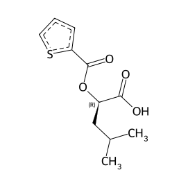 CC(C)C[C@@H](OC(=O)c1cccs1)C(=O)O